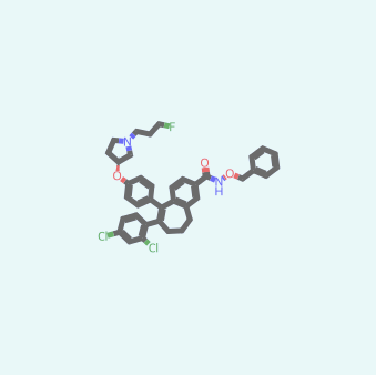 O=C(NOCc1ccccc1)c1ccc2c(c1)CCCC(c1ccc(Cl)cc1Cl)=C2c1ccc(O[C@H]2CCN(CCCF)C2)cc1